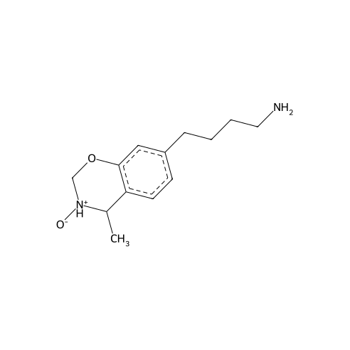 CC1c2ccc(CCCCN)cc2OC[NH+]1[O-]